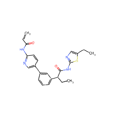 C=CC(=O)Nc1ccc(-c2cccc(C(CC)C(=O)Nc3ncc(CC)s3)c2)cn1